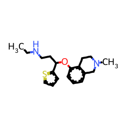 CCNCCC(Oc1cccc2c1CCN(C)C2)c1cccs1